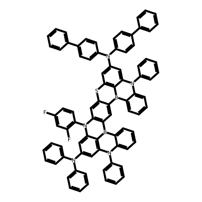 Fc1ccc(N2c3cc4c(cc3B3c5ccccc5N(c5ccccc5)c5cc(N(c6ccccc6)c6ccccc6)cc2c53)B2c3ccccc3N(c3ccccc3)c3cc(N(c5ccc(-c6ccccc6)cc5)c5ccc(-c6ccccc6)cc5)cc(c32)S4)c(F)c1